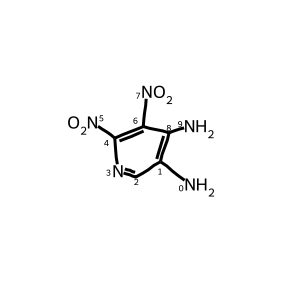 Nc1cnc([N+](=O)[O-])c([N+](=O)[O-])c1N